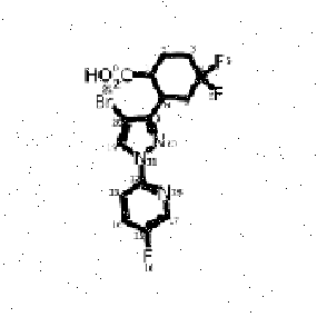 O=C(O)C1CCC(F)(F)CC1c1nn(-c2ccc(F)cn2)cc1Br